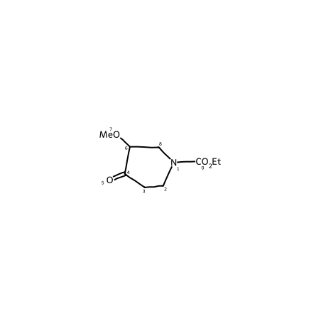 CCOC(=O)N1CCC(=O)C(OC)C1